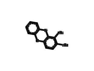 CCCCc1ccc2c(c1CCCC)[N]c1ccccc1O2